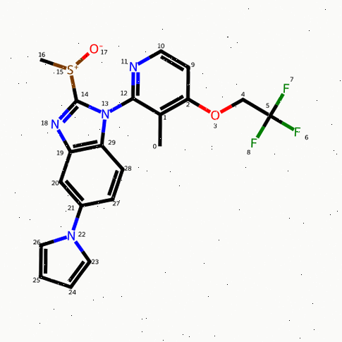 Cc1c(OCC(F)(F)F)ccnc1-n1c([S+](C)[O-])nc2cc(-n3cccc3)ccc21